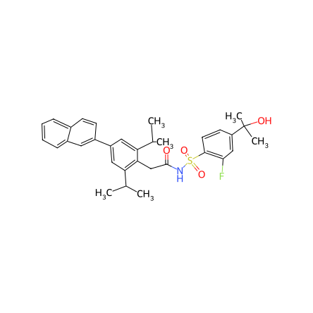 CC(C)c1cc(-c2ccc3ccccc3c2)cc(C(C)C)c1CC(=O)NS(=O)(=O)c1ccc(C(C)(C)O)cc1F